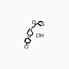 Cl.O=C(CCN1CCN(c2ccc(Cl)cc2)CC1)c1ccsc1